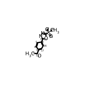 CC(=O)c1ccc(-c2nnc(S(C)(=O)=O)o2)cc1